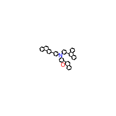 c1cc(-c2cc3ccccc3c3ccccc23)cc(N(c2ccc(-c3ccc4c(ccc5ccccc54)c3)cc2)c2ccc3oc4c5ccccc5ccc4c3c2)c1